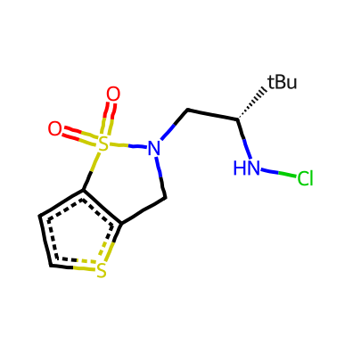 CC(C)(C)[C@@H](CN1Cc2sccc2S1(=O)=O)NCl